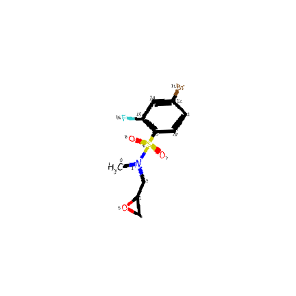 CN(CC1CO1)S(=O)(=O)c1ccc(Br)cc1F